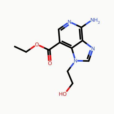 CCOC(=O)c1cnc(N)c2ncn(CCO)c12